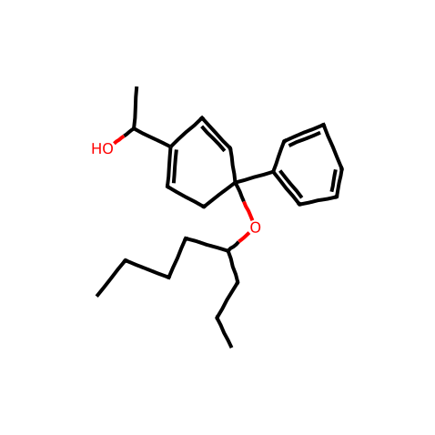 CCCCC(CCC)OC1(c2ccccc2)C=CC(C(C)O)=CC1